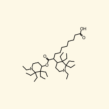 CCN1CCC(OC(=O)C(CCCCCCCC(=O)O)C2CCN(CC)C(CC)(CC)C2(CC)CC)C(CC)(CC)C1(CC)CC